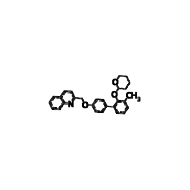 Cc1cccc(-c2ccc(OCc3ccc4ccccc4n3)cc2)c1OC1CCCCO1